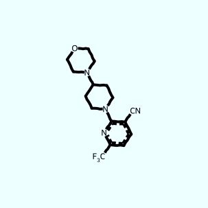 N#Cc1ccc(C(F)(F)F)nc1N1CCC(N2CCOCC2)CC1